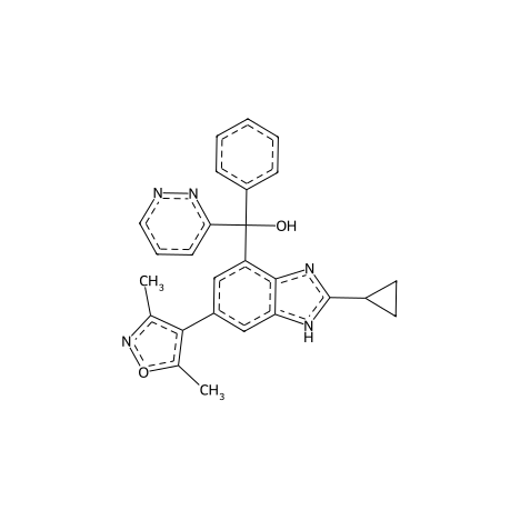 Cc1noc(C)c1-c1cc(C(O)(c2ccccc2)c2cccnn2)c2nc(C3CC3)[nH]c2c1